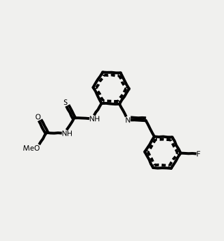 COC(=O)NC(=S)Nc1ccccc1/N=C/c1cccc(F)c1